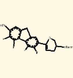 CCCCCC1CC=C(c2cc3c(c(F)c2F)-c2c(cc(CCC)c(F)c2F)C3)OC1